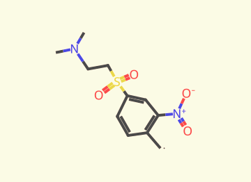 [CH2]c1ccc(S(=O)(=O)CCN(C)C)cc1[N+](=O)[O-]